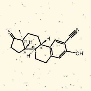 C[C@]12CC[C@@H]3c4cc(C#N)c(O)cc4CC[C@H]3[C@@H]1CCC2=S